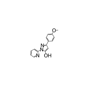 COc1ccc(-c2cc(O)n(-c3ccccn3)n2)cc1